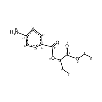 CCOC(=O)C(CC)OC(=O)c1ccc(N)cc1